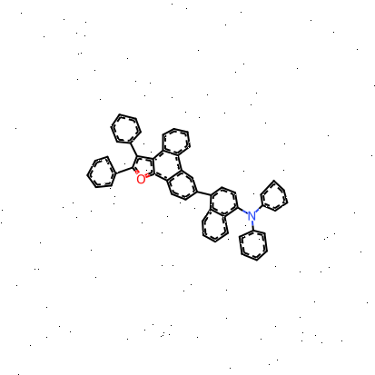 c1ccc(-c2oc3c4ccc(-c5ccc(N(c6ccccc6)c6ccccc6)c6ccccc56)cc4c4ccccc4c3c2-c2ccccc2)cc1